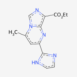 CCOC(=O)c1ncn2c(C)cc(-c3ncc[nH]3)nc12